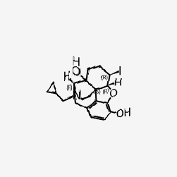 Oc1ccc2c3c1O[C@H]1[C@H](I)CCC4(O)[C@@H](C2)N(CC2CC2)CC[C@]314